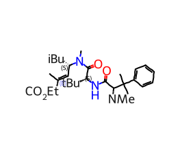 CCOC(=O)/C(C)=C/[C@H](C(C)CC)N(C)C(=O)[C@@H](NC(=O)C(NC)C(C)(C)c1ccccc1)C(C)(C)C